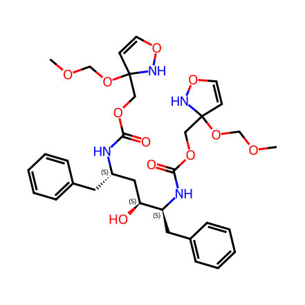 COCOC1(COC(=O)N[C@@H](Cc2ccccc2)C[C@H](O)[C@H](Cc2ccccc2)NC(=O)OCC2(OCOC)C=CON2)C=CON1